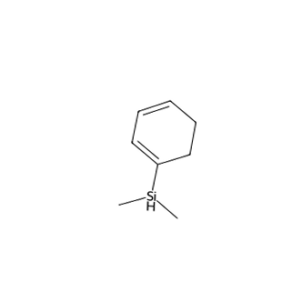 C[SiH](C)C1=CC=CCC1